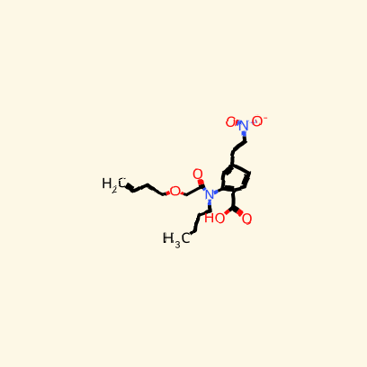 C=CCCOCC(=O)N(CCCC)c1cc(CC[N+](=O)[O-])ccc1C(=O)O